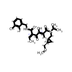 C/C=C(/C(=O)NCc1cccc(Cl)c1F)C(=O)/C(O)=C1\C[C@@]2(C[C@H]2COC)CN(C(C)C)C1=O